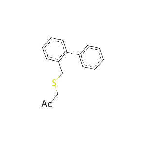 CC(=O)CSCc1ccccc1-c1ccccc1